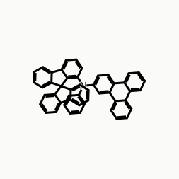 c1ccc(N(c2ccc3c4ccccc4c4ccccc4c3c2)c2cccc3c2C2(c4ccccc4-c4ccccc42)c2ccccc2-3)cc1